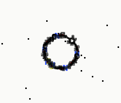 C1=CN2C=CC1c1ccc(cc1)C1C=CN(C=C1)Cc1ccc(cc1)CN1C=CC(C=C1)c1nc3sc(nc3s1)C1C=CN(C=C1)Cc1ccc(cc1)C2